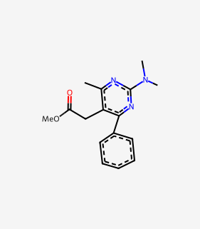 COC(=O)Cc1c(C)nc(N(C)C)nc1-c1ccccc1